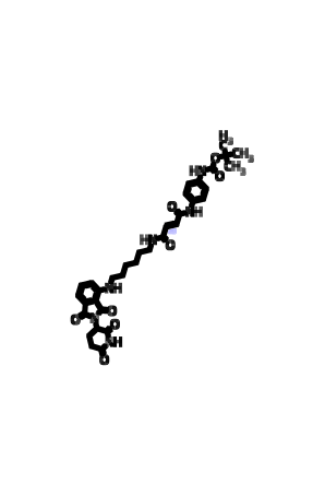 CC(C)(C)OC(=O)Nc1ccc(NC(=O)/C=C/C(=O)NCCCCCCNc2cccc3c2C(=O)N(C2CCC(=O)NC2=O)C3=O)cc1